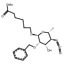 COC(=O)CCCCCO[C@H]1O[C@H](C)[C@@H](N=[N+]=[N-])[C@H](O)[C@@H]1OCc1ccccc1